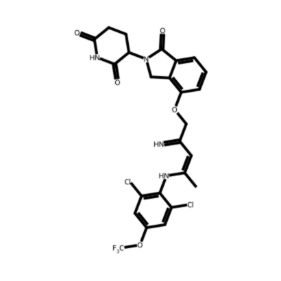 C/C(=C/C(=N)COc1cccc2c1CN(C1CCC(=O)NC1=O)C2=O)Nc1c(Cl)cc(OC(F)(F)F)cc1Cl